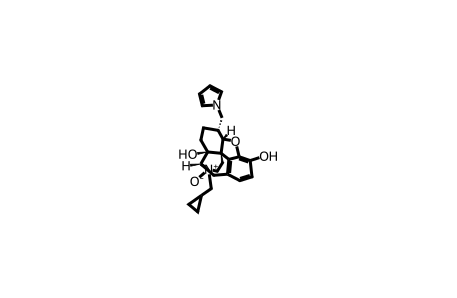 [O-][N+]1(CC2CC2)CC[C@]23c4c5ccc(O)c4O[C@H]2[C@@H](Cn2cccc2)CC[C@@]3(O)[C@H]1C5